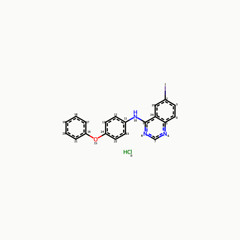 Cl.Ic1ccc2ncnc(Nc3ccc(Oc4ccccc4)cc3)c2c1